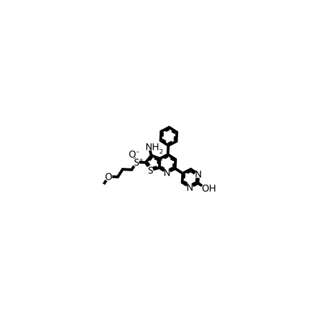 COCCC[S+]([O-])c1sc2nc(-c3cnc(O)nc3)cc(-c3ccccc3)c2c1N